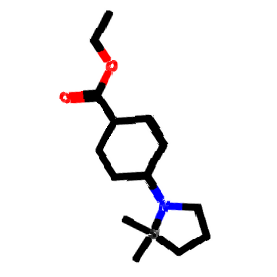 CCOC(=O)C1CCC(N2CCC[Si]2(C)C)CC1